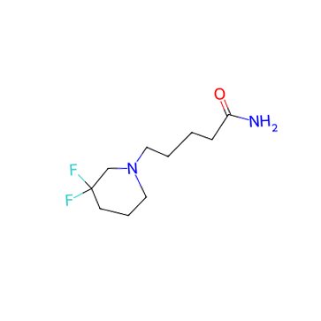 NC(=O)CCCCN1CCCC(F)(F)C1